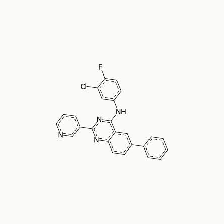 Fc1ccc(Nc2nc(-c3cccnc3)nc3ccc(-c4ccccc4)cc23)cc1Cl